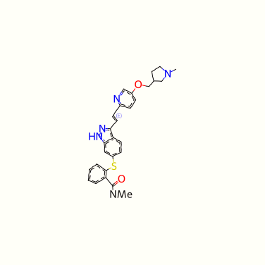 CNC(=O)c1ccccc1Sc1ccc2c(/C=C/c3ccc(OCC4CCN(C)C4)cn3)n[nH]c2c1